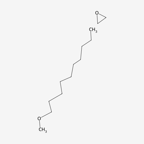 C1CO1.CCCCCCCCCCOC